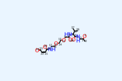 CC(=O)CNC(=O)C(NC(=O)COCCOCCNC(=O)/C=C\C=O)C(C)C